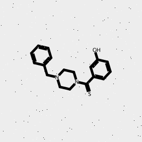 Oc1cccc(C(=S)N2CCN(Cc3ccccc3)CC2)c1